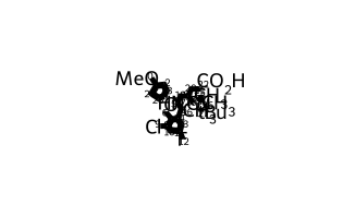 COc1ccc(OCc2c(Cl)cc(F)cc2C(C)NCC(CCC(=O)O)O[Si](C)(C)C(C)(C)C)cc1